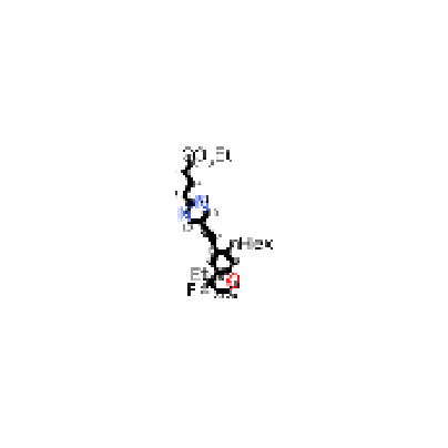 CCCCCCc1cc2c(cc1C#Cc1cnc(CCCCC(=O)OCC)nc1)C(CC)(CC)CCO2